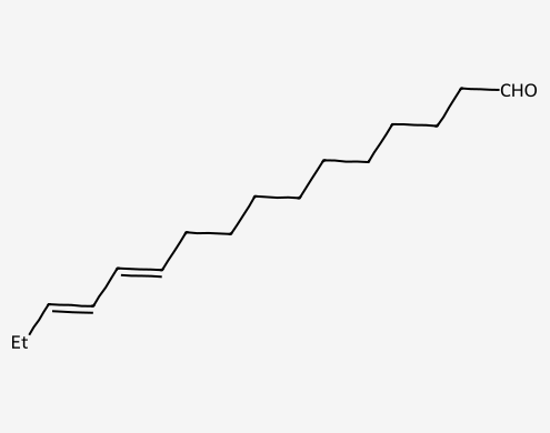 CCC=CC=CCCCCCCCCCC=O